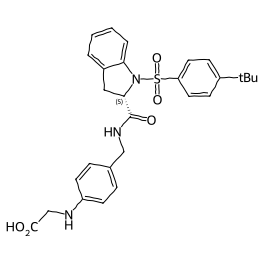 CC(C)(C)c1ccc(S(=O)(=O)N2c3ccccc3C[C@H]2C(=O)NCc2ccc(NCC(=O)O)cc2)cc1